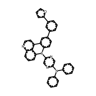 c1ccc(N(c2ccccc2)c2cnc(B3c4ccc(-c5cccc(-c6ccco6)c5)cc4-c4ccnc5cccc3c45)cn2)cc1